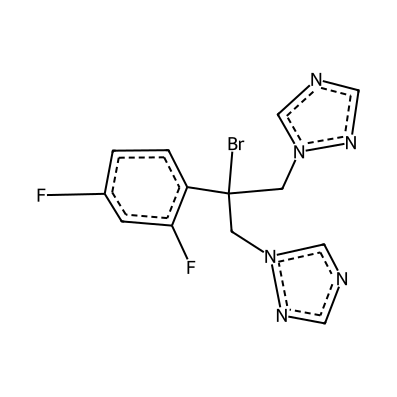 Fc1ccc(C(Br)(Cn2cncn2)Cn2cncn2)c(F)c1